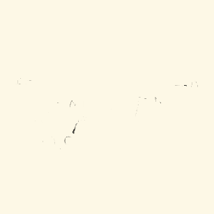 CC(C)[C@H](C)NCCCC[C@H](NC(=O)CC(C)(C)C)C(=O)O